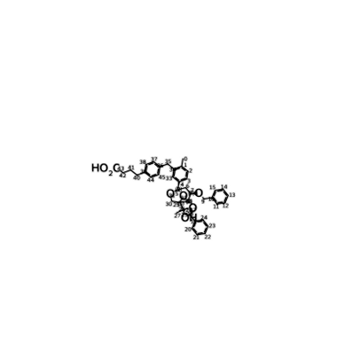 Cc1ccc([C@]23C[C@@H](OCc4ccccc4)[C@H](OCc4ccccc4)[C@](C(C)(C)O)(CO2)O3)cc1Cc1ccc(CCCC(=O)O)cc1